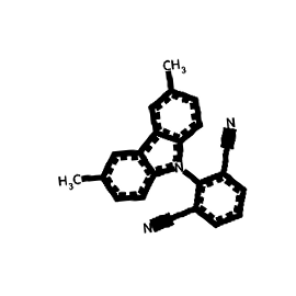 Cc1ccc2c(c1)c1cc(C)ccc1n2-c1c(C#N)cccc1C#N